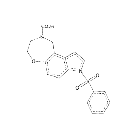 O=C(O)N1CCOc2ccc3c(ccn3S(=O)(=O)c3ccccc3)c2C1